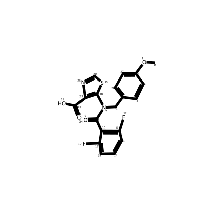 COc1ccc(CN(C(=O)c2c(F)cccc2F)c2scnc2C(=O)O)cc1